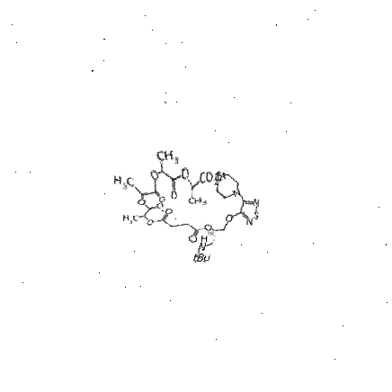 CCOC(=O)C(C)OC(=O)C(C)OC(=O)C(C)OC(=O)C(C)OC(=O)CCC(=O)O[C@@H](CNC(C)(C)C)COc1nsnc1N1CCOCC1